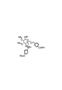 CCCCO[C@@H]1[C@@H](OCCCC)C(O)OC(COCc2ccc(OC)cc2)(COCc2ccc(OC)cc2)[C@H]1OCCCC